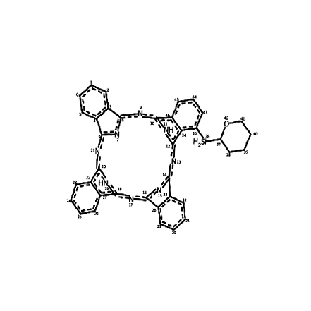 c1ccc2c(c1)-c1nc-2nc2[nH]c(nc3nc(nc4[nH]c(n1)c1ccccc41)-c1ccccc1-3)c1c([SiH2]C3CCCCO3)cccc21